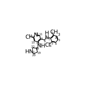 Cc1cccc(Cl)c1NCc1cnc(Cl)cc1NC1CCNC1